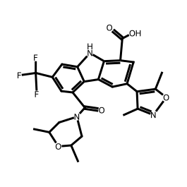 Cc1noc(C)c1-c1cc(C(=O)O)c2[nH]c3cc(C(F)(F)F)cc(C(=O)N4CC(C)OC(C)C4)c3c2c1